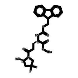 CC(C)(C)OC(=O)[C@H](CCC(=O)N1CC(F)(F)C[C@H]1C#N)NC(=O)OCC1c2ccccc2-c2ccccc21